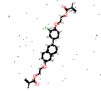 C=C(C)C(=O)OCCOc1ccc2cc(-c3ccc(OCCOC(=O)C(=C)C)c(F)c3)ccc2c1